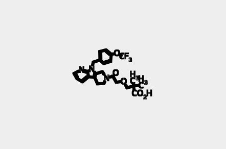 CC(C)(COCC(=O)N1CCc2c(n(Cc3ccc(OC(F)(F)F)cc3)c3ncccc23)C1)C(=O)O